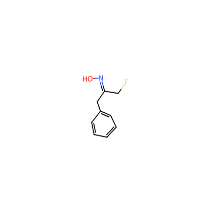 O/N=C(/CF)Cc1ccccc1